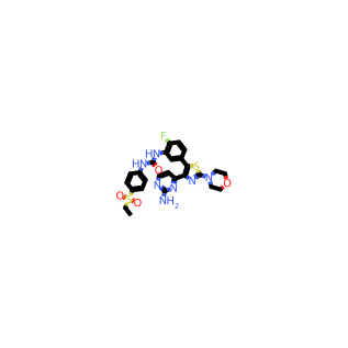 CCS(=O)(=O)c1ccc(NC(=O)Nc2cc(-c3sc(N4CCOCC4)nc3-c3ccnc(N)n3)ccc2F)cc1